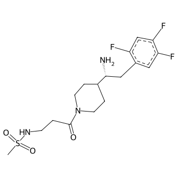 CS(=O)(=O)NCCC(=O)N1CCC([C@H](N)Cc2cc(F)c(F)cc2F)CC1